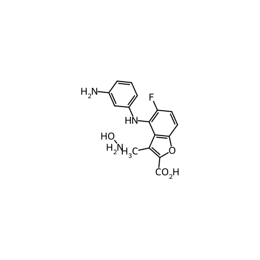 Cc1c(C(=O)O)oc2ccc(F)c(Nc3cccc(N)c3)c12.NO